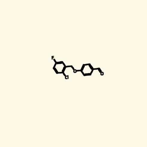 O=Cc1ccc(OCc2cc(F)ccc2Cl)cc1